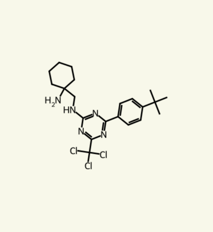 CC(C)(C)c1ccc(-c2nc(NCC3(N)CCCCC3)nc(C(Cl)(Cl)Cl)n2)cc1